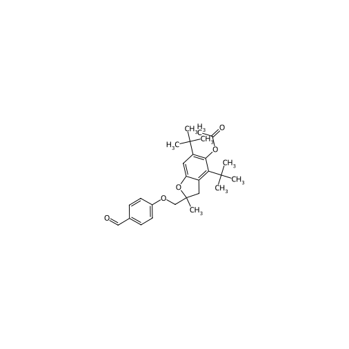 CC(=O)Oc1c(C(C)(C)C)cc2c(c1C(C)(C)C)CC(C)(COc1ccc(C=O)cc1)O2